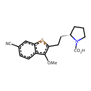 COc1c(CC[C@@H]2CCCN2C(=O)O)sc2cc(C#N)ccc12